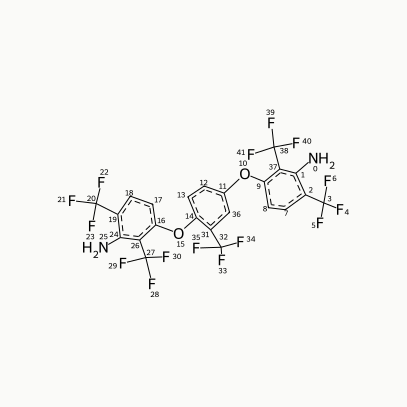 Nc1c(C(F)(F)F)ccc(Oc2ccc(Oc3ccc(C(F)(F)F)c(N)c3C(F)(F)F)c(C(F)(F)F)c2)c1C(F)(F)F